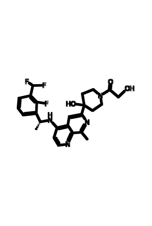 Cc1nc(C2(O)CCN(C(=O)CO)CC2)cc2c(N[C@H](C)c3cccc(C(F)F)c3F)ccnc12